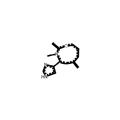 C=c1ccccc(=C)n(C)c(-c2c[nH]cn2)c1